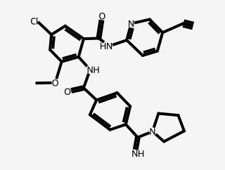 C#Cc1ccc(NC(=O)c2cc(Cl)cc(OC)c2NC(=O)c2ccc(C(=N)N3CCCC3)cc2)nc1